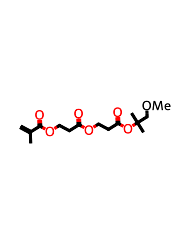 C=C(C)C(=O)OCCC(=O)OCCC(=O)OC(C)(C)COC